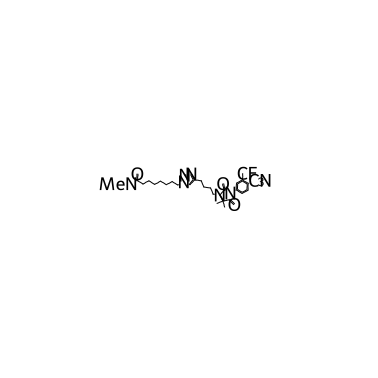 CNC(=O)CCCCCCCn1cc(CCCCN2C(=O)N(c3ccc(C#N)c(C(F)(F)F)c3)C(=O)C2(C)C)nn1